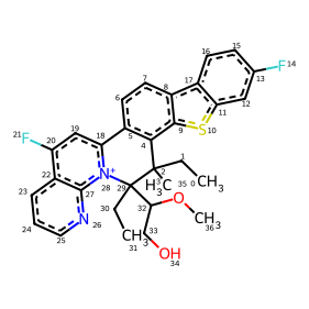 CCC1(C)c2c(ccc3c2sc2cc(F)ccc23)-c2cc(F)c3cccnc3[n+]2C1(CC)C(CO)OC